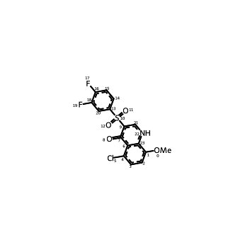 COc1ccc(Cl)c2c(=O)c(S(=O)(=O)c3ccc(F)c(F)c3)c[nH]c12